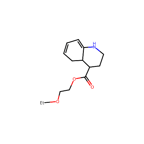 CCOCCOC(=O)C1CCNC2=CC=CCC21